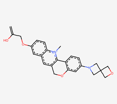 C=C(O)COc1ccc2c(c1)cc1c([n+]2C)-c2ccc(N3CC4(COC4)C3)cc2OC1